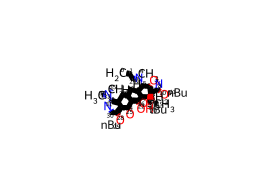 C=CCN(C)[C@@H]1c2onc(OCCCC)c2C(=O)[C@@]2(O[Si](C)(C)C(C)(C)C)C(O)=C3C(=O)c4c(OCCCC)cnc(N(C)C)c4C[C@H]3C[C@@H]12